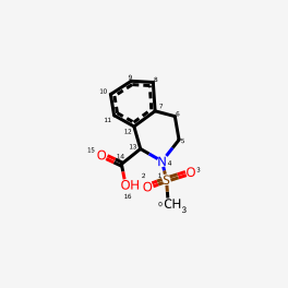 CS(=O)(=O)N1CCc2ccccc2C1C(=O)O